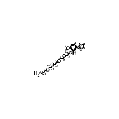 COc1ccc([As]2SCCS2)cc1NC(=O)COCCOCCOCCOCCN